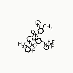 Cc1ccc(NC(=O)C2CCCN(C(=O)c3c(C)cccc3F)[C@H]2C2C=CC(CN3CCCC3C(F)(F)F)=CC2)cc1N1CCCC1